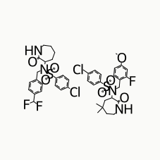 COc1ccc(CN(C2CC(C)(C)CCNC2=O)S(=O)(=O)c2ccc(Cl)cc2)c(F)c1.O=C1NCCCCC1N(Cc1ccc(C(F)F)cc1)S(=O)(=O)c1ccc(Cl)cc1